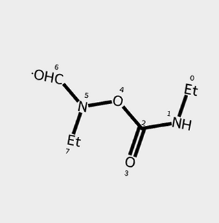 CCNC(=O)ON([C]=O)CC